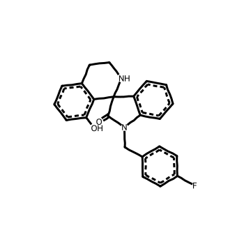 O=C1N(Cc2ccc(F)cc2)c2ccccc2C12NCCc1cccc(O)c12